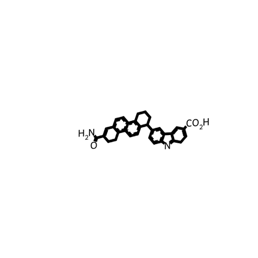 NC(=O)C1=Cc2ccc3c4c(ccc3c2CC1)C(c1ccc2c(c1)C1=CC(C(=O)O)=CCC1=N2)CCC4